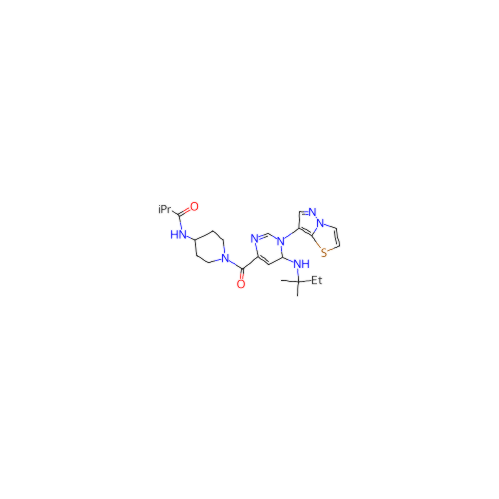 CCC(C)(C)NC1C=C(C(=O)N2CCC(NC(=O)C(C)C)CC2)N=CN1c1cnn2ccsc12